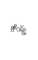 CC(C)(C)OC(=O)N1CCC(S(=O)(=O)Cl)CC1C(C)(C)C